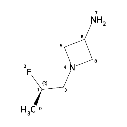 C[C@@H](F)CN1CC(N)C1